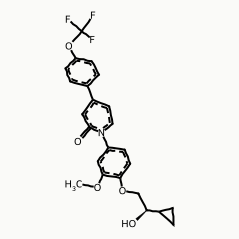 COc1cc(-n2ccc(-c3ccc(OC(F)(F)F)cc3)cc2=O)ccc1OC[C@H](O)C1CC1